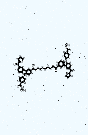 CC(=NO)c1ccc(-n2c3ccc(C(=O)CCCCCCCCC(=O)c4ccc5c(c4)c4cc(C(=O)c6cccs6)ccc4n5-c4ccc(C(C)=NO)cc4)cc3c3cc(C(=O)c4cccs4)ccc32)cc1